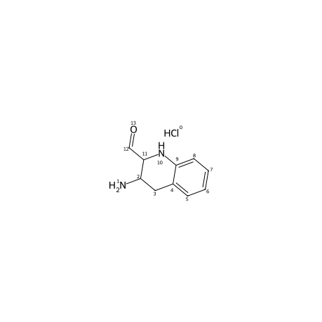 Cl.NC1Cc2ccccc2NC1C=O